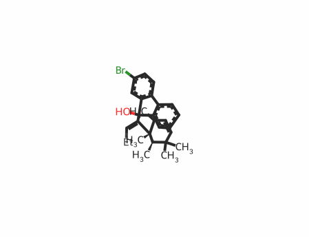 CC/C=C(/C1(O)c2ccccc2-c2ccc(Br)cc21)[C@]1(C)C(C)C=CC(C)(C)[C@H]1C